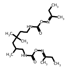 CC/C(C)=N\OC(=O)NCCC(C)(C)CC(C)CNC(=O)O/N=C(\C)CC